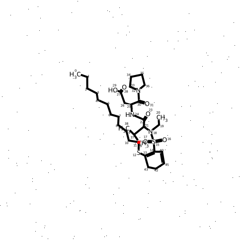 CCCCCCCCCCCCSC1=C(S(=O)(=O)N(CC)C(C(=O)N[C@@H](CC(=O)O)C(=O)N2CCCC2)C(C)C)C=CCC1